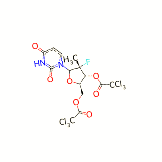 C[C@]1(F)C(n2ccc(=O)[nH]c2=O)O[C@H](COC(=O)C(Cl)(Cl)Cl)[C@H]1OC(=O)C(Cl)(Cl)Cl